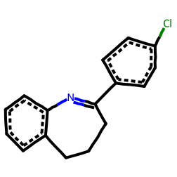 Clc1ccc(C2=Nc3ccccc3CCC2)cc1